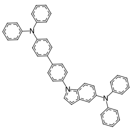 c1ccc(N(c2ccccc2)c2ccc(-c3ccc(-n4ccc5cc(N(c6ccccc6)c6ccccc6)ccc54)cc3)cc2)cc1